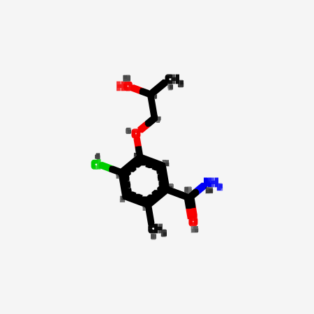 Cc1cc(Cl)c(OCC(C)O)cc1C(N)=O